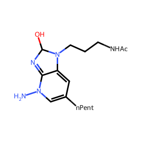 CCCCCC1=CN(N)C2=NC(O)N(CCCNC(C)=O)C2=C1